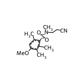 COc1cc(C)c(S(=O)(=O)N(C)CCC#N)c(C)c1C